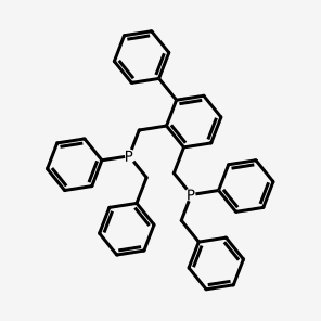 c1ccc(CP(Cc2cccc(-c3ccccc3)c2CP(Cc2ccccc2)c2ccccc2)c2ccccc2)cc1